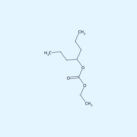 C[CH]OC(=O)OC(CCC)CCC